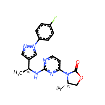 CC(C)[C@H]1COC(=O)N1c1ccnc(N[C@@H](C)c2cnn(-c3ccc(F)cc3)c2)n1